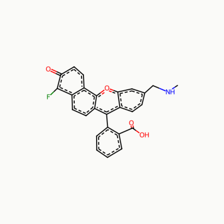 CNCc1ccc2c(-c3ccccc3C(=O)O)c3ccc4c(F)c(=O)ccc4c3oc2c1